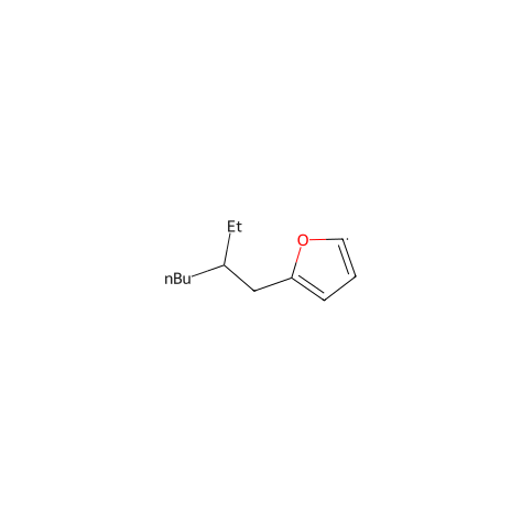 CCCCC(CC)Cc1cc[c]o1